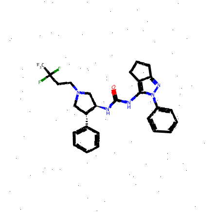 O=C(Nc1c2c(nn1-c1ccccc1)CCC2)N[C@@H]1CN(CCC(F)(F)C(F)(F)F)C[C@H]1c1ccccc1